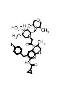 CC1COc2nc(NC(=O)C3CC3)c(Cc3ccc(F)cc3)cc2N1C(=O)CN1C[C@@H](C)N(C(=O)O)C[C@@H]1CN1[C@H](C)COC[C@H]1C